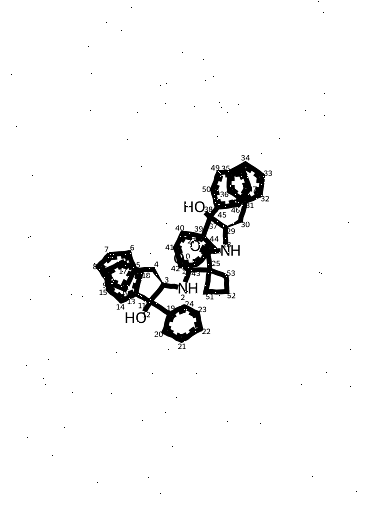 O=C(N[C@H](Cc1ccccc1)C(O)(c1ccccc1)c1ccccc1)C1(C(=O)N[C@H](Cc2ccccc2)C(O)(c2ccccc2)c2ccccc2)CCC1